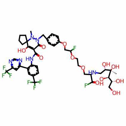 CN1N(Cc2ccc(OCC(F)OCCOCC(NC[C@H](O)[C@@](C)(O)[C@H](O)[C@H](O)CO)C(=O)F)cc2)C(=O)C(C(=O)Nc2ccc(C(F)(F)F)cc2-c2cc(C(F)(F)F)ncn2)=C(O)C12CCCC2